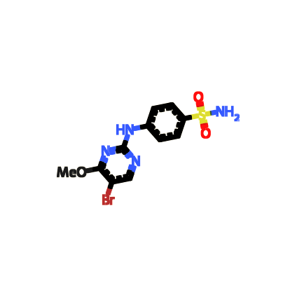 COc1nc(Nc2ccc(S(N)(=O)=O)cc2)ncc1Br